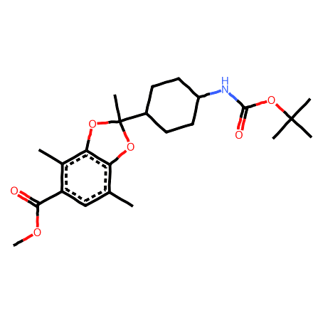 COC(=O)c1cc(C)c2c(c1C)OC(C)(C1CCC(NC(=O)OC(C)(C)C)CC1)O2